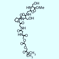 COC(=O)C(CO)NC(=O)CNC(=O)C(CO)NC(=O)[C@@H]1CCCN1C(=O)CNC(=O)CNC(=O)COC(=O)COCC(=O)N(C)C